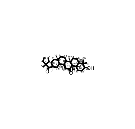 CCC(C)(CC)C(=O)[C@@]1(C)CC[C@]2(C)CC[C@]3(C)C(=CC(=O)[C@@H]4[C@@]5(C)CC[C@H](O)C(C)(C)[C@@H]5CC[C@]43C)[C@H]2C1